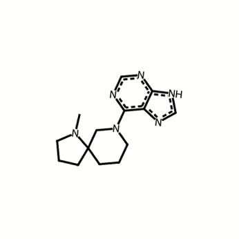 CN1CCCC12CCCN(c1ncnc3[nH]cnc13)C2